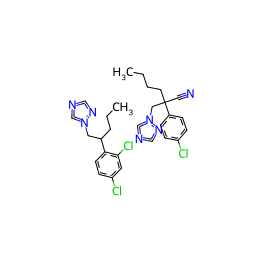 CCCC(Cn1cncn1)c1ccc(Cl)cc1Cl.CCCCC(C#N)(Cn1cncn1)c1ccc(Cl)cc1